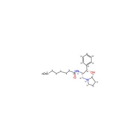 CCCCCCCCCCCCCCCC(=O)N[C@@H](CN1CCCC1)[C@@H](O)c1ccccc1